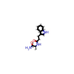 C[C@H](NC(=O)CCc1c[nH]c2ccccc12)C(N)=O